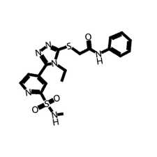 CCn1c(SCC(=O)Nc2ccccc2)nnc1-c1ccnc(S(=O)(=O)NC)c1